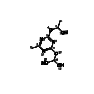 Cc1nc(OC(C)O)nc(OC(O)O)n1